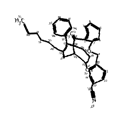 C=C(c1ccccc1OCc1ccc(C#N)cc1)C12CCC(O)C1CC(CCCCCC)=C2c1ccccc1